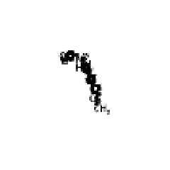 CCOC(=O)CC1CCC(c2ccc(-c3cn4cc(C(=O)NCc5ccc6c(c5)OCO6)nc4s3)cc2)CC1